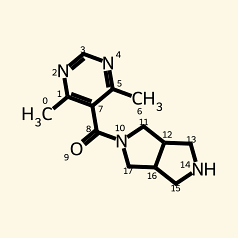 Cc1ncnc(C)c1C(=O)N1CC2CNCC2C1